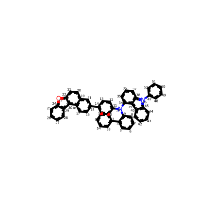 c1ccc(-c2ccccc2N(c2ccc(-c3ccc4c(ccc5oc6ccccc6c54)c3)cc2)c2cccc3c2c2ccccc2n3-c2ccccc2)cc1